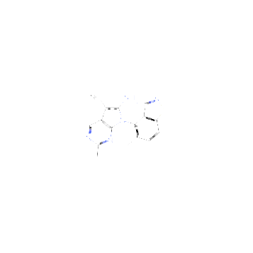 Cc1ncc2c(C#N)c(N)n(-c3c(C)ccc4sncc34)c2n1